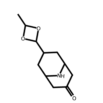 CC1OC(C2CC3CC(=O)CC(C2)N3)O1